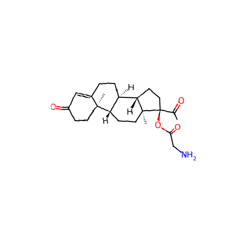 CC(=O)[C@@]1(OC(=O)CN)CC[C@H]2[C@@H]3CCC4=CC(=O)CC[C@]4(C)[C@H]3CC[C@@]21C